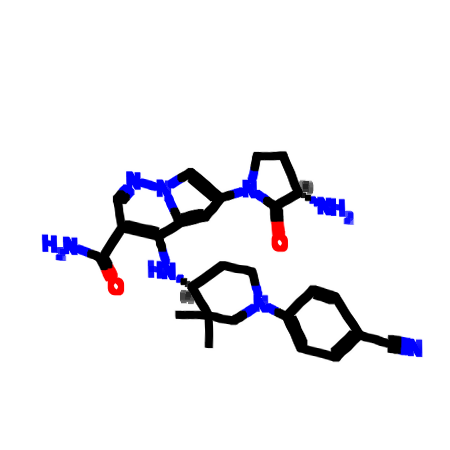 CC1(C)CN(c2ccc(C#N)cc2)CC[C@H]1Nc1c(C(N)=O)cnn2cc(N3CC[C@H](N)C3=O)cc12